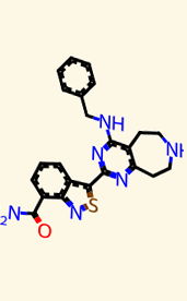 NC(=O)c1cccc2c(-c3nc4c(c(NCc5ccccc5)n3)CCNCC4)snc12